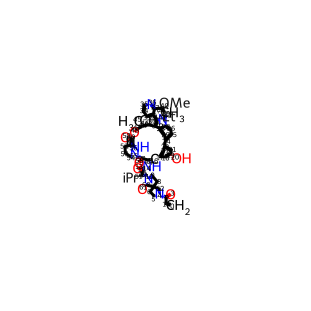 C=CC(=O)N1CCC2(CCN([C@H](C(=O)N[C@H]3Cc4cc(O)cc(c4)-c4ccc5c(c4)c(c(-c4cccnc4[C@H](C)OC)n5CC)CC(C)(C)COC(=O)[C@@H]4CCCN(N4)C3=O)C(C)C)C2=O)C1